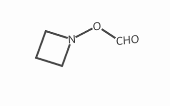 O=CON1CCC1